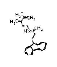 C=C(CCC1c2ccccc2-c2ccccc21)NCCC(=C)C(=C)C